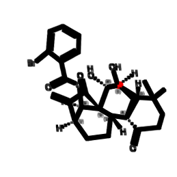 C=C1C(=O)[C@]23[C@H](OC(=O)c4ccccc4Br)[C@H]1CC[C@H]2[C@@]12CO[C@@]3(O)[C@@H](O)[C@@H]1C(C)(C)CCC2=O